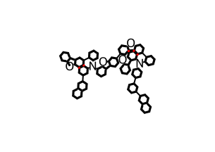 c1cc(-c2ccc(N(c3ccccc3-c3ccc4oc5ccc(-c6ccc7c(c6)oc6c(N(c8cccc(-c9ccc%10ccccc%10c9)c8)c8ccccc8-c8ccc9oc%10ccccc%10c9c8)cccc67)cc5c4c3)c3cccc4oc5ccccc5c34)cc2)cc(-c2ccc3ccccc3c2)c1